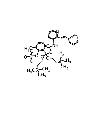 Cc1cccc(C(OCC[Si](C)(C)C)(OCC[Si](C)(C)C)OC(=O)Nc2cccnc2C=Cc2ccccc2)c1OP(=O)(O)O